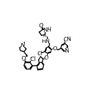 CN1CCC(COc2cccc(-c3cccc4c3CC[C@@H]4Oc3cc(OCc4cncc(C#N)c4)c(CNC[C@@H]4CCC(=O)N4)cc3Cl)c2Cl)C1